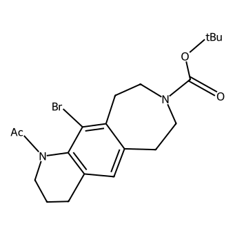 CC(=O)N1CCCc2cc3c(c(Br)c21)CCN(C(=O)OC(C)(C)C)CC3